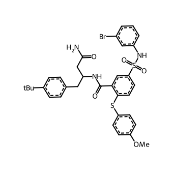 COc1ccc(Sc2ccc(S(=O)(=O)Nc3cccc(Br)c3)cc2C(=O)NC(CC(N)=O)Cc2ccc(C(C)(C)C)cc2)cc1